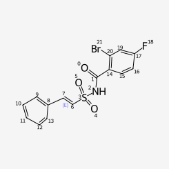 O=C(NS(=O)(=O)/C=C/c1ccccc1)c1ccc(F)cc1Br